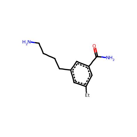 CCc1cc(CCCCN)cc(C(N)=O)c1